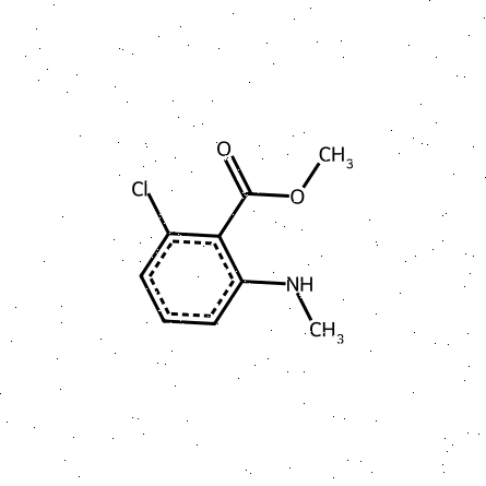 CNc1cccc(Cl)c1C(=O)OC